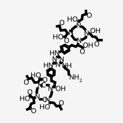 CC(=O)CCC(O)N1CCN(C(O)CCc2ccc(Nc3nc(NCCCN)nc(Nc4ccc(CCC(C(=O)O)N5CCN(C(O)CCC(C)=O)CCN(C(O)CCC(C)=O)CCN(C(CCC(C)=O)C(=O)O)CC5)cc4)n3)cc2)CCN(C(CCC(C)=O)C(=O)O)CCN(C(CCC(C)=O)C(=O)O)CC1